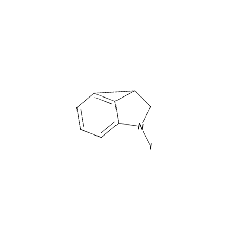 IN1CC2c3cccc1c32